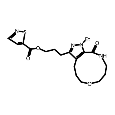 CCn1nc(CCCOC(=O)c2ccns2)c2c1C(=O)NCCCOCCC2